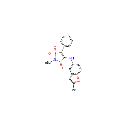 CCCCN1C(=O)C(Nc2ccc3oc(C(C)=O)cc3c2)=C(c2ccccc2)S1(=O)=O